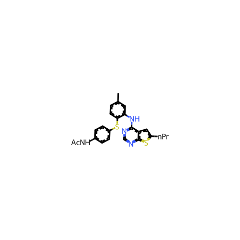 CCCc1cc2c(Nc3cc(C)ccc3Sc3ccc(NC(C)=O)cc3)ncnc2s1